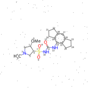 COC1CN(C)CC1S(=O)(=O)NC(=O)Nc1c2c(cc3c1CCC3)CCC2